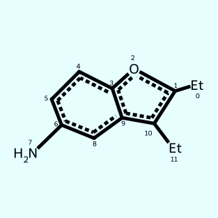 CCc1oc2ccc(N)cc2c1CC